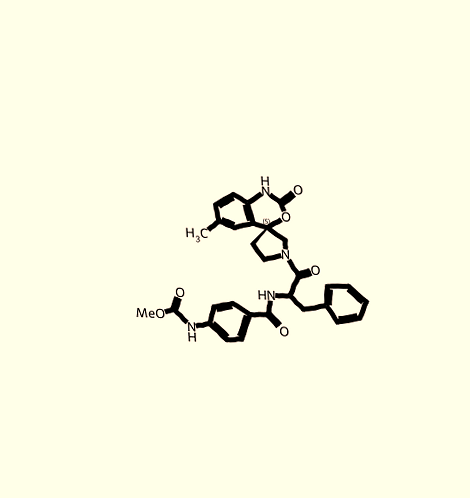 COC(=O)Nc1ccc(C(=O)NC(Cc2ccccc2)C(=O)N2CC[C@]3(C2)OC(=O)Nc2ccc(C)cc23)cc1